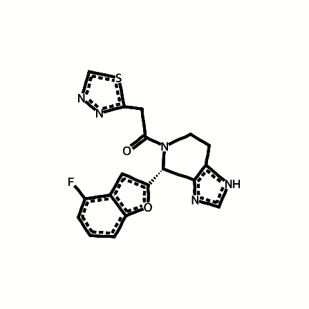 O=C(Cc1nncs1)N1CCc2[nH]cnc2[C@@H]1c1cc2c(F)cccc2o1